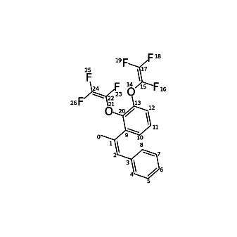 CC(=Cc1ccccc1)c1cccc(OC(F)=C(F)F)c1OC(F)=C(F)F